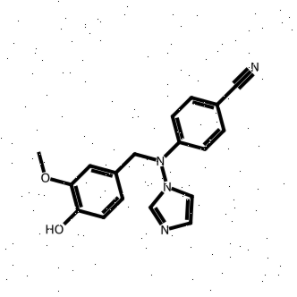 COc1cc(CN(c2ccc(C#N)cc2)n2ccnc2)ccc1O